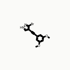 COc1cc(C#Cc2c[nH]nc2Br)cc(OC)c1